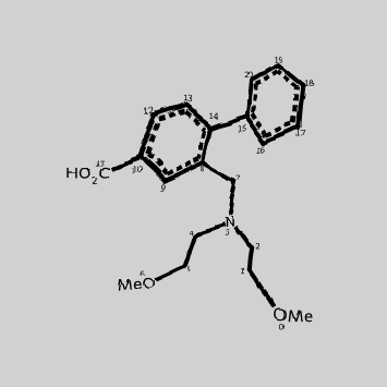 COCCN(CCOC)Cc1cc(C(=O)O)ccc1-c1ccccc1